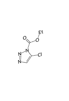 CCOC(=O)n1nncc1Cl